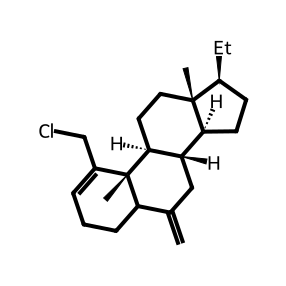 C=C1C[C@H]2[C@@H]3CC[C@H](CC)[C@@]3(C)CC[C@@H]2[C@@]2(C)C(CCl)=CCCC12